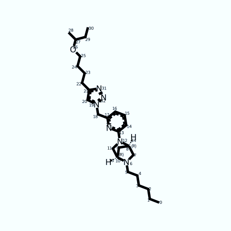 CCCCCCN1C[C@H]2C[C@@H]1CN2c1cccc(Cn2cc(CCCCOC(C)CC)nn2)n1